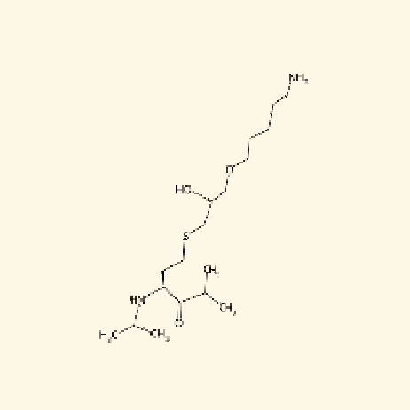 CC(C)N[C@@H](CCSCC(O)COCCCCCN)C(=O)C(C)C